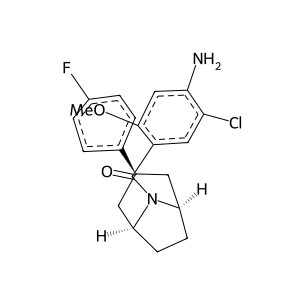 COc1cc(N)c(Cl)cc1C(=O)N1[C@@H]2CC[C@H]1C[C@@H](c1ccc(F)cc1)C2